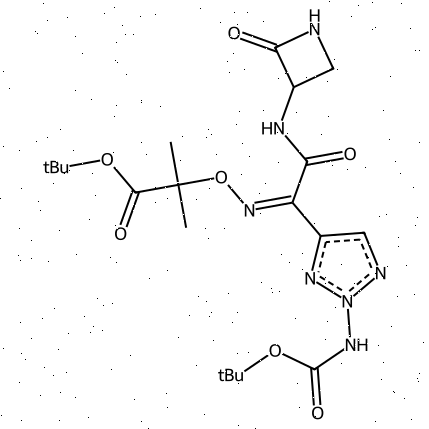 CC(C)(C)OC(=O)Nn1ncc(C(=NOC(C)(C)C(=O)OC(C)(C)C)C(=O)NC2CNC2=O)n1